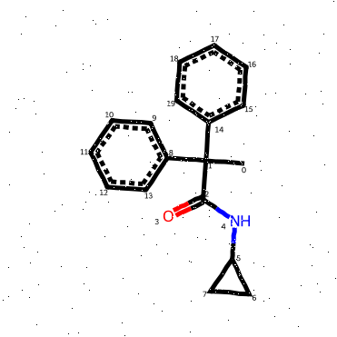 CC(C(=O)NC1CC1)(c1ccccc1)c1ccccc1